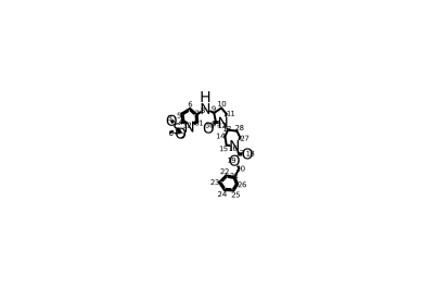 CS(=O)(=O)c1ccc(NC2CCN(C3CCN(C(=O)OCc4ccccc4)CC3)C2=O)cn1